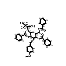 COc1ccc(COC2C(OC(=O)c3ccccc3)C(COC(=O)c3ccccc3)OC(OC(=N)C(Cl)(Cl)Cl)C2OC(=O)c2ccccc2)cc1